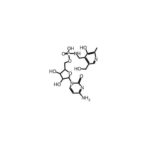 Cc1ncc(CO)c(CNP(=O)(O)OCC2OC(n3ccc(N)nc3=O)C(O)C2O)c1O